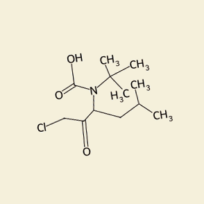 CC(C)CC(C(=O)CCl)N(C(=O)O)C(C)(C)C